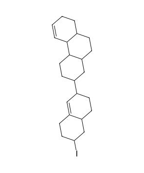 IC1CCC2=CC(C3CCC4C(CCC5CCC=CC54)C3)CCC2C1